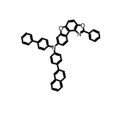 c1ccc(-c2ccc(N(c3ccc(-c4ccc5ccccc5c4)cc3)c3ccc4c(c3)oc3ccc5oc(-c6ccccc6)nc5c34)cc2)cc1